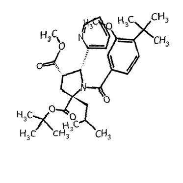 COC(=O)[C@H]1C[C@@](CC(C)C)(C(=O)OC(C)(C)C)N(C(=O)c2ccc(C(C)(C)C)c(OC)c2)[C@H]1c1ccccn1